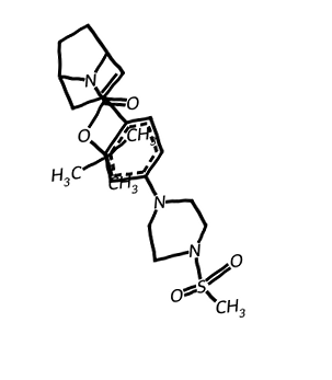 CC(C)(C)OC(=O)N1C2C=C(c3ccc(N4CCN(S(C)(=O)=O)CC4)cc3)CC1CC2